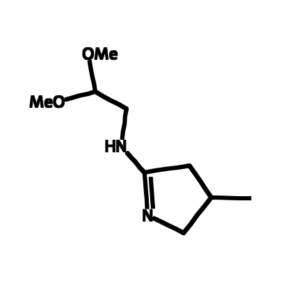 COC(CNC1=NCC(C)C1)OC